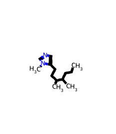 CCCC(C)C(C)CCc1cncn1C